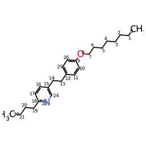 CCCCCCCCOc1ccc(CCc2ccc(CCCC)nc2)cc1